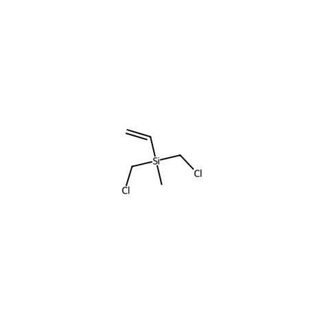 C=C[Si](C)(CCl)CCl